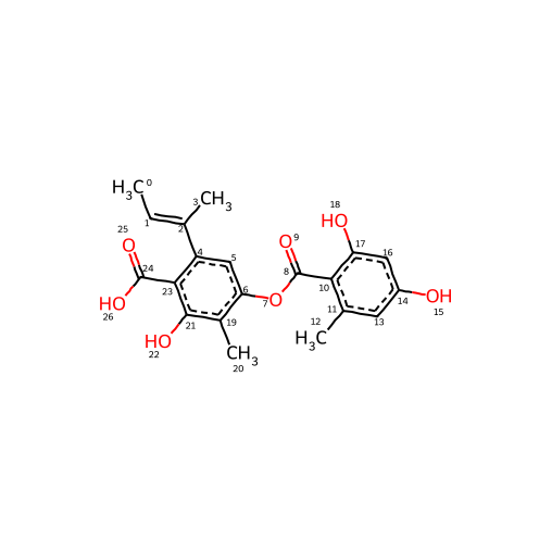 CC=C(C)c1cc(OC(=O)c2c(C)cc(O)cc2O)c(C)c(O)c1C(=O)O